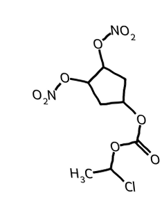 CC(Cl)OC(=O)OC1CC(O[N+](=O)[O-])C(O[N+](=O)[O-])C1